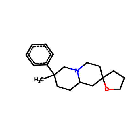 CC1(c2ccccc2)CCC2CC3(CCCO3)CCN2C1